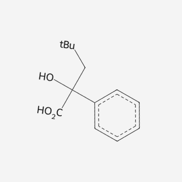 CC(C)(C)CC(O)(C(=O)O)c1ccccc1